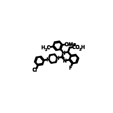 COc1ccc(C)cc1N1C(N2CCN(c3cccc(Cl)c3)CC2)=Nc2c(F)cccc2C1CC(=O)O